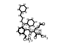 C=Cc1cccc(N(CCCC2CCCCC2)C2CCCCC2)c1CN(C)C(CCC=O)C(=O)NC